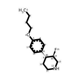 CCCCOc1ccc([C@H]2CCNC[C@@H]2F)cc1